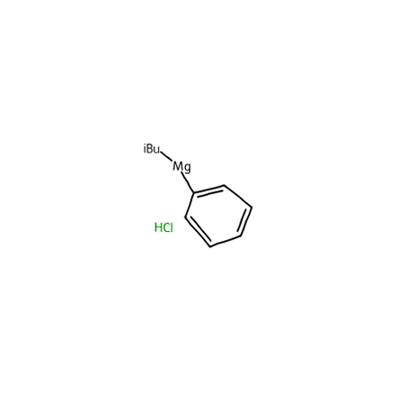 CC[CH](C)[Mg][c]1ccccc1.Cl